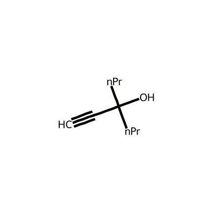 C#CC(O)(CCC)CCC